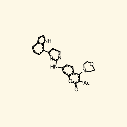 CC(=O)c1c(N2CCOCC2)c2ccc(Nc3nccc(-c4cccc5cc[nH]c45)n3)cc2oc1=O